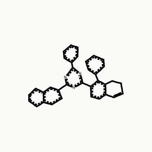 C1=Cc2ccc(-c3nc(-c4ccccc4)nc(-c4ccc5ccccc5c4)n3)c(-c3ccccc3)c2CC1